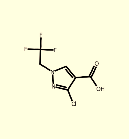 O=C(O)c1cn(CC(F)(F)F)nc1Cl